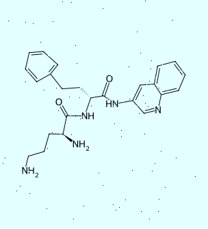 NCCC[C@H](N)C(=O)N[C@H](CCc1ccccc1)C(=O)Nc1cnc2ccccc2c1